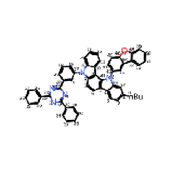 CCCCc1ccc2c3ccc4c(c5ccccc5n4-c4cccc(-c5nc(-c6ccccc6)nc(-c6ccccc6)n5)c4)c3n(-c3ccc4oc5ccccc5c4c3)c2c1